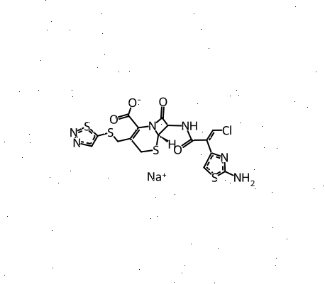 Nc1nc(C(=CCl)C(=O)NC2C(=O)N3C(C(=O)[O-])=C(CSc4cnns4)CS[C@@H]23)cs1.[Na+]